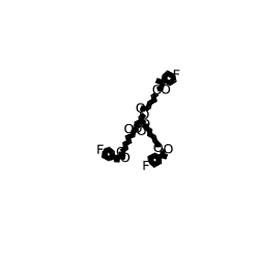 C=C(C(=O)OCCCCCC(=O)OCC(COC(=O)CCCCCOC(=O)C(=C)c1ccc(F)cc1)OC(=O)CCCCCOC(=O)C(=C)c1ccc(F)cc1)c1ccc(F)cc1